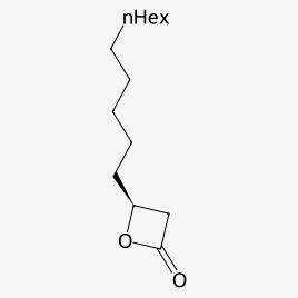 CCCCCCCCCCC[C@H]1CC(=O)O1